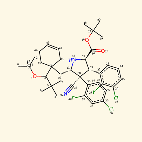 C[SiH](C)OC(C(C)(C)C)C1(C[C@@H]2N[C@@H](C(=O)OC(C)(C)C)[C@H](c3cccc(Cl)c3F)[C@@]2(C#N)c2ccc(Cl)cc2F)CC=CCC1